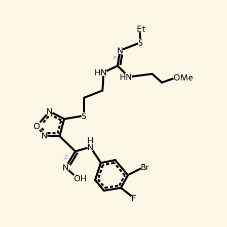 CCS/N=C(\NCCOC)NCCSc1nonc1/C(=N/O)Nc1ccc(F)c(Br)c1